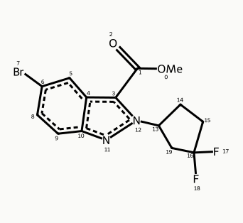 COC(=O)c1c2cc(Br)ccc2nn1C1CCC(F)(F)C1